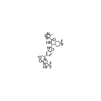 COCC(c1ccc2oc(C(NC(=O)c3nonc3C)C3CCC(F)(F)CC3)nc2c1)N1CC(C(F)(F)F)NC1=O